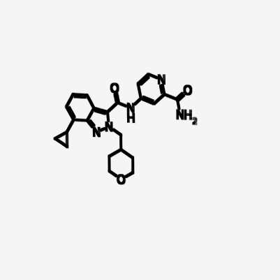 NC(=O)c1cc(NC(=O)c2c3cccc(C4CC4)c3nn2CC2CCOCC2)ccn1